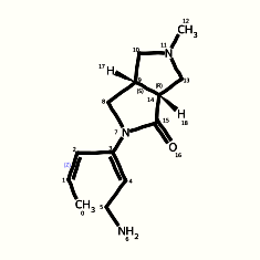 C/C=C\C(=CCN)N1C[C@@H]2CN(C)C[C@@H]2C1=O